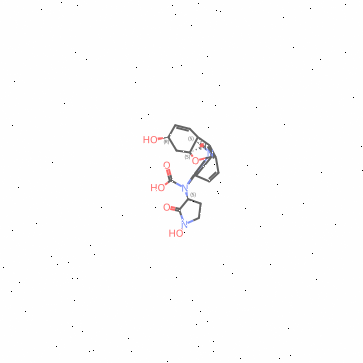 CN1CC[C@@]23C=C[C@H](O)C[C@@H]2Oc2c(N(C(=O)O)[C@H]4CCN(O)C4=O)ccc(c23)C1